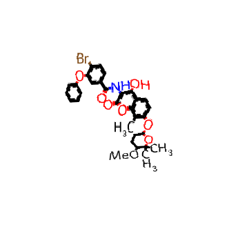 COC1CCC(Oc2ccc3c(O)c(NC(=O)c4ccc(Br)c(Oc5ccccc5)c4)c(=O)oc3c2C)OC1(C)C